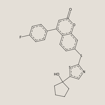 O=c1cc(-c2ccc(F)cc2)c2ccc(Sc3ncc(C4(O)CCCC4)s3)cc2o1